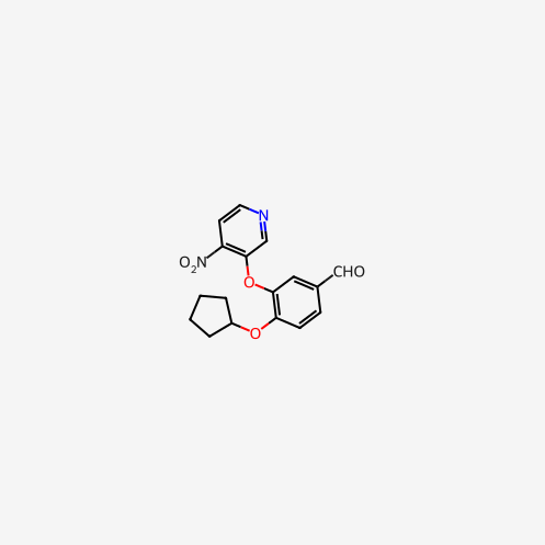 O=Cc1ccc(OC2CCCC2)c(Oc2cnccc2[N+](=O)[O-])c1